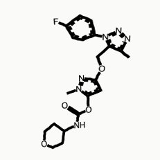 Cc1nnn(-c2ccc(F)cc2)c1COc1cc(OC(=O)NC2CCOCC2)n(C)n1